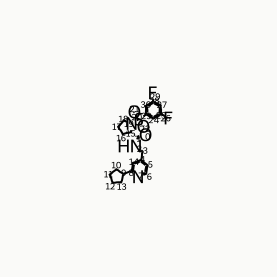 O=C(NCc1ccnc(C2CCCC2)c1)[C@@H]1CCCN1S(=O)(=O)c1cc(F)cc(F)c1